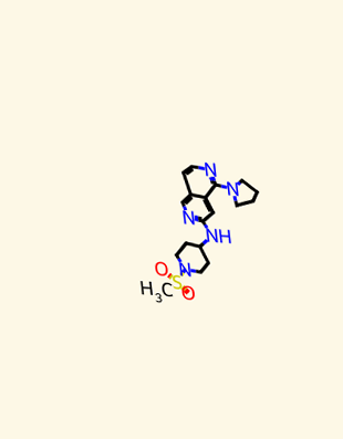 CS(=O)(=O)N1CCC(Nc2cc3c(N4CCCC4)nccc3cn2)CC1